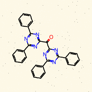 O=C(c1nc(-c2ccccc2)nc(-c2ccccc2)n1)c1nc(-c2ccccc2)nc(-c2ccccc2)n1